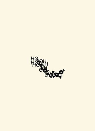 CCOc1cc(-c2ccc(F)cc2)c(C2CC2)cc1CN1CCN(C(=O)Oc2ccc(C(=O)NCC(O)C(O)C(O)C(O)CO)cc2)CC1